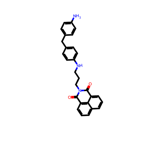 Nc1ccc(Cc2ccc(NCCCN3C(=O)c4cccc5cccc(c45)C3=O)cc2)cc1